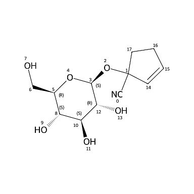 N#CC1(O[C@@H]2O[C@H](CO)[C@@H](O)[C@H](O)[C@H]2O)C=CCC1